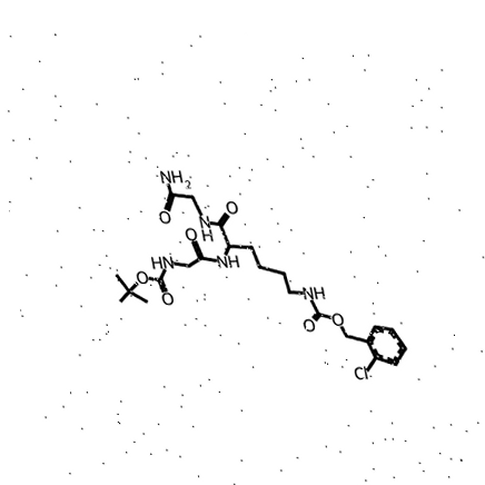 CC(C)(C)OC(=O)NCC(=O)NC(CCCCNC(=O)OCc1ccccc1Cl)C(=O)NCC(N)=O